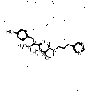 C[C@@H](NC(=O)[C@H](Cc1ccc(O)cc1)N(C)C)C(=O)NCCCc1cncnc1